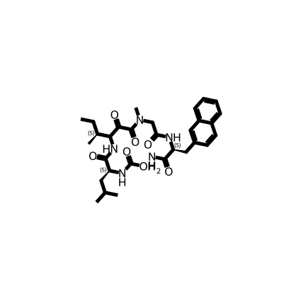 CC[C@H](C)C(NC(=O)[C@H](CC(C)C)NC(=O)O)C(=O)C(=O)N(C)CC(=O)N[C@@H](Cc1ccc2ccccc2c1)C(N)=O